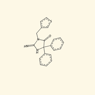 N=C1NC(c2ccccc2)(c2ccccc2)C(=O)N1Cc1ccsc1